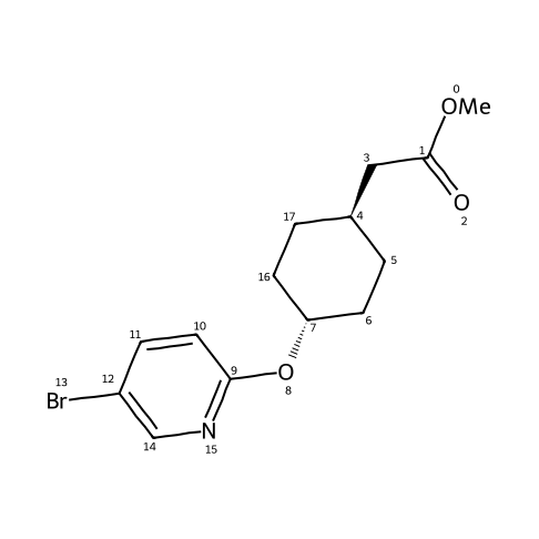 COC(=O)C[C@H]1CC[C@H](Oc2ccc(Br)cn2)CC1